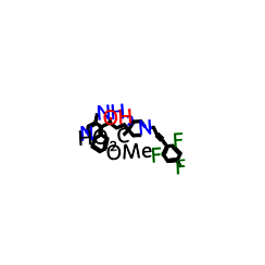 COc1ccc2ncc(CN)c(C(O)CCC3(C(=O)O)CCN(CC#Cc4c(F)cc(F)cc4F)CC3)c2c1